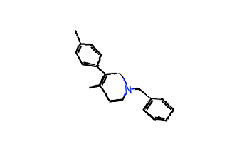 CC1=C(c2ccc(C)cc2)CN(Cc2ccccc2)CC1